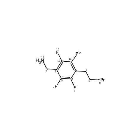 CC(C)CCc1c(F)c(F)c(CN)c(F)c1F